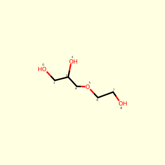 O[CH]C(O)COCCO